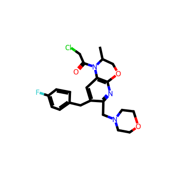 CC1COc2nc(CN3CCOCC3)c(Cc3ccc(F)cc3)cc2N1C(=O)CCl